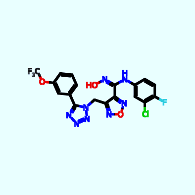 O/N=C(/Nc1ccc(F)c(Cl)c1)c1nonc1Cn1nnnc1-c1cccc(OC(F)(F)F)c1